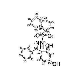 O=S(=O)(NN=C(c1ccccc1)c1ccc(O)cc1O)c1cccc2ccccc12